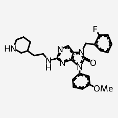 COc1cccc(-n2c(=O)n(Cc3ccccc3F)c3cnc(NCCC4CCCNC4)nc32)c1